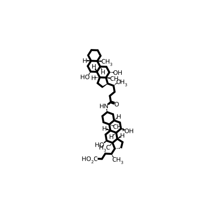 C[C@H](CCC(=O)N[C@H]1CC[C@@]2(C)[C@@H](C1)C[C@@H](O)[C@@H]1[C@@H]2C[C@H](O)[C@]2(C)[C@@H]([C@H](C)CCC(=O)O)CC[C@@H]12)[C@H]1CC[C@H]2[C@@H]3[C@H](O)C[C@@H]4CCCC[C@]4(C)[C@H]3C[C@H](O)[C@]12C